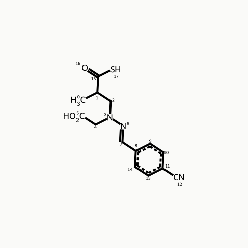 CC(CN(CC(=O)O)N=Cc1ccc(C#N)cc1)C(=O)S